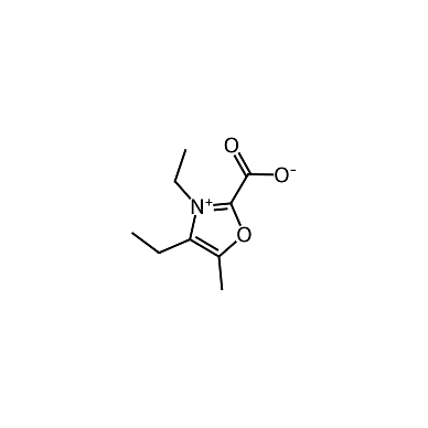 CCc1c(C)oc(C(=O)[O-])[n+]1CC